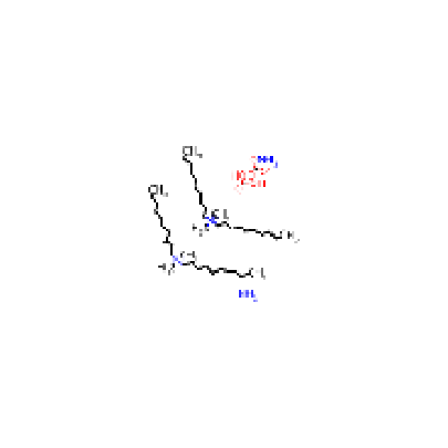 CCCCCCCCCC[N+](C)(C)CCCCCCCCCC.CCCCCCCCCC[N+](C)(C)CCCCCCCCCC.N.N.O=C(O)O.O=C([O-])[O-]